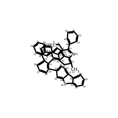 CCC1=C(\c2ccccc2)CC/C(C)=C(c2ccc3c4ccccc4c4cccc(-c5ccc6c(c5)sc5ccccc56)c4c3c2)/N=C\1c1ccccc1